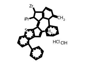 C=C1C=CC2=C(C(=C3C(C)=Cc4c3sc3cccc(-c5ccccc5)c43)C(C(C)C)[CH]2[Zr])C1c1ccccc1.Cl.Cl